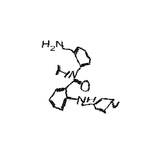 NCc1ccccc1NC(=O)c1ccccc1NCc1ccncc1